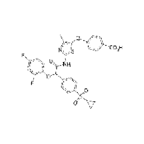 Cc1nc(NC(=O)C(Oc2ccc(F)cc2F)c2ccc(S(=O)(=O)C3CC3)cc2)sc1Oc1ccc(C(=O)O)cc1